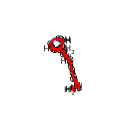 CO[C@H]1C[C@@H]2CC[C@@H](C)[C@@](O)(O2)C(=O)C(=O)N2CCCC[C@H]2C(=O)O[C@H]([C@H](N)C[C@@H]2CC[C@@H](OC(=O)N3CCN(c4ncc(C(=O)NCCOCCOCCOCCOCCOCCC(=O)N5CCc6cc(Cn7nc(-c8cnc9[nH]ccc9c8)c8c(N)ncnc87)ccc6C5)cn4)CC3)[C@H](OC)C2)CC(=O)[C@H](C)/C=C(\C)[C@@H](O)[C@@H](O)C(=O)[C@H](C)C[C@H](C)/C=C/C=C/C=C/1C